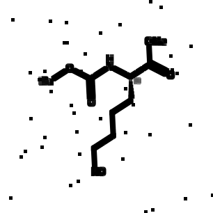 COC(=O)[C@H](CCCCN=O)NC(=O)OC(C)(C)C